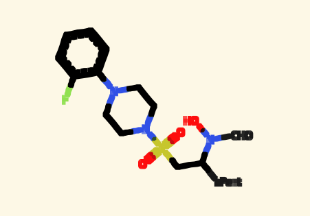 CCCCCC(CS(=O)(=O)N1CCN(c2ccccc2F)CC1)N(O)C=O